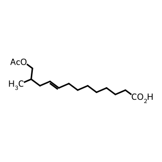 CC(=O)OCC(C)C/C=C/CCCCCCCC(=O)O